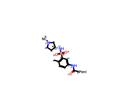 CCCC(C)C(=O)Nc1ccc(C)c(S(=O)(=O)N[C@@H]2CCN(C#N)C2)c1